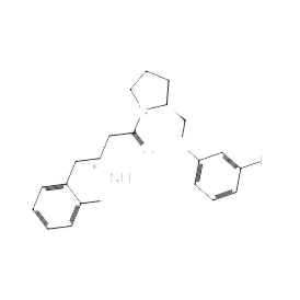 N[C@@H](CC(=O)N1CCC[C@H]1COc1cccc(F)c1)Cc1ccccc1F